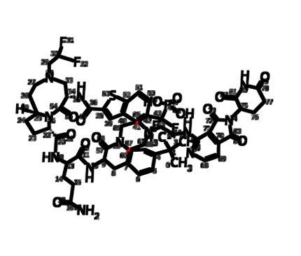 CC(C)(C)c1ccc(CC(NC(=O)C(CCC(N)=O)NC(=O)[C@@H]2CC[C@@H]3CCN(CC(F)F)C[C@H](NC(=O)c4cc5cc(C(F)(F)P(=O)(O)O)ccc5s4)C(=O)N32)C(=O)N2CCN(CCNc3nccc4c3C(=O)N(C3CCC(=O)NC3=O)C4=O)CC2)cc1